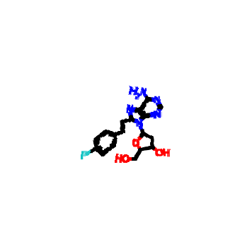 Nc1ncnc2c1nc(/C=C/c1ccc(F)cc1)n2C1CC(O)C(CO)O1